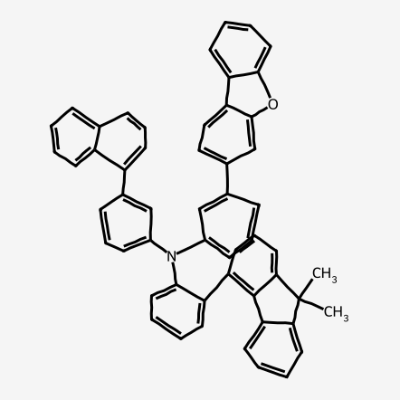 CC1(C)c2ccccc2-c2c(-c3ccccc3N(c3cccc(-c4ccc5c(c4)oc4ccccc45)c3)c3cccc(-c4cccc5ccccc45)c3)cccc21